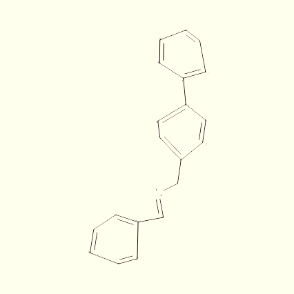 C(=NCc1ccc(-c2ccccc2)cc1)c1ccccc1